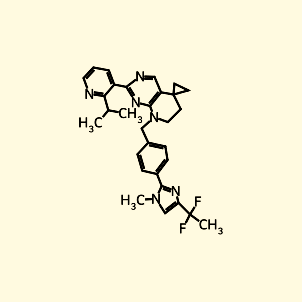 CC(C)c1ncccc1-c1ncc2c(n1)N(Cc1ccc(-c3nc(C(C)(F)F)cn3C)cc1)CCC21CC1